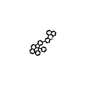 c1ccc(C2(c3ccccc3)c3cc(-c4ccc5c(c4)-c4cccc6cccc(c46)S5)ccc3-c3ccc4ccccc4c32)cc1